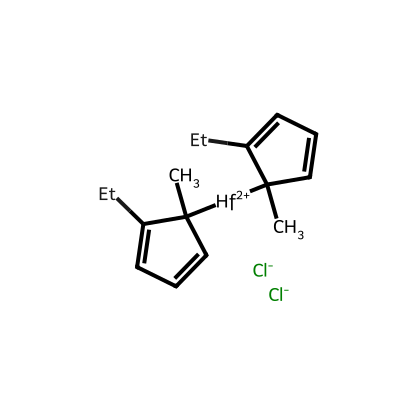 CCC1=CC=C[C]1(C)[Hf+2][C]1(C)C=CC=C1CC.[Cl-].[Cl-]